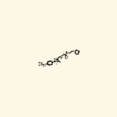 CCOc1ccc(-c2nc(CSCC(=O)NCCN3CCCC3)c(C)o2)cc1